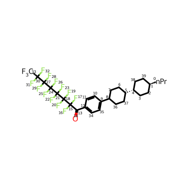 CCC[C@H]1CC[C@H](C2CCC(c3ccc(C(=O)C(F)(F)C(F)(F)C(F)(F)C(F)(F)C(F)(F)C(F)(F)C(F)(F)F)cc3)CC2)CC1